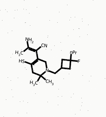 CCCC1(F)CC(CN2CC(/C(C#N)=C(\C)N)=C(S)CC2(C)C)C1